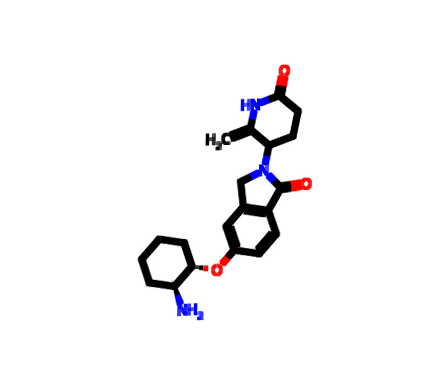 C=C1NC(=O)CCC1N1Cc2cc(O[C@H]3CCCC[C@@H]3N)ccc2C1=O